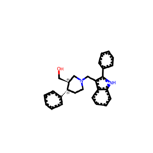 OC[C@H]1CN(Cc2c(-c3ccccc3)[nH]c3ccccc23)CC[C@@H]1c1ccccc1